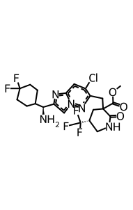 COC(=O)C1(Cc2nn3cc([C@@H](N)C4CCC(F)(F)CC4)nc3cc2Cl)C[C@@H](C(F)(F)F)CNC1=O